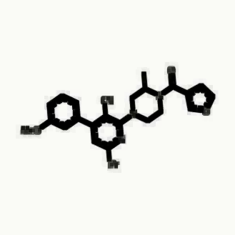 COc1cccc(-c2cc(C(C)C)nc(N3CCN(C(=O)c4ccoc4)C(C)C3)c2C#N)c1